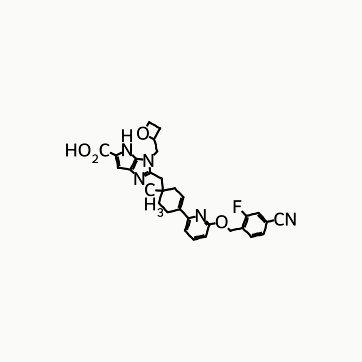 CC1(Cc2nc3cc(C(=O)O)[nH]c3n2CC2CCO2)CC=C(c2cccc(OCc3ccc(C#N)cc3F)n2)CC1